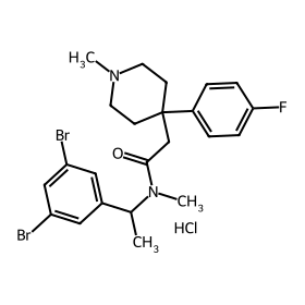 CC(c1cc(Br)cc(Br)c1)N(C)C(=O)CC1(c2ccc(F)cc2)CCN(C)CC1.Cl